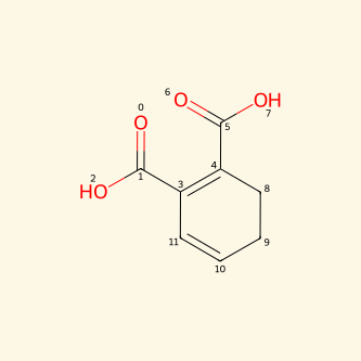 O=C(O)C1=C(C(=O)O)CCC=C1